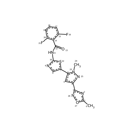 Cc1nc(-c2cc(-c3cnc(NC(=O)c4c(F)cccc4F)s3)n(C)n2)no1